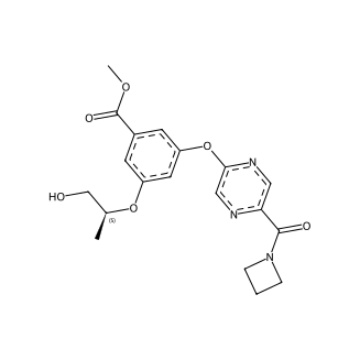 COC(=O)c1cc(Oc2cnc(C(=O)N3CCC3)cn2)cc(O[C@@H](C)CO)c1